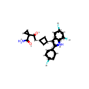 NC(=O)C1(C(=O)C[C@H]2C[C@H](c3c(-c4ccc(F)cc4)[nH]c4c(F)cc(F)cc43)C2)CC1